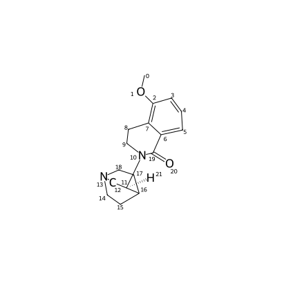 COc1cccc2c1CCN([C@@H]1CN3CCC1CC3)C2=O